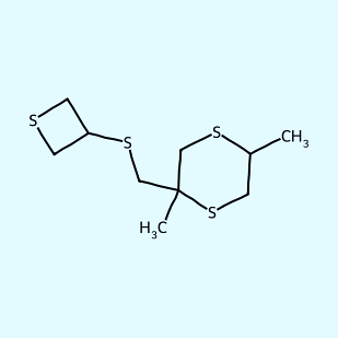 CC1CSC(C)(CSC2CSC2)CS1